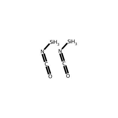 O=C=N[SiH3].O=C=N[SiH3]